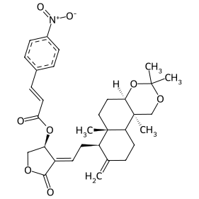 C=C1CCC2[C@]3(C)COC(C)(C)O[C@@H]3CC[C@@]2(C)[C@@H]1C/C=C1/C(=O)OC[C@H]1OC(=O)/C=C/c1ccc([N+](=O)[O-])cc1